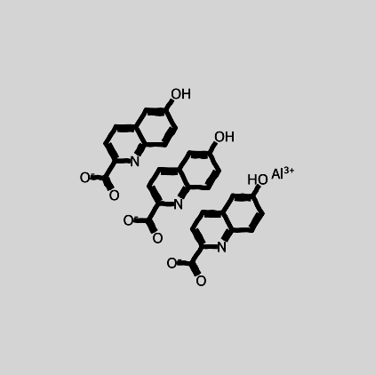 O=C([O-])c1ccc2cc(O)ccc2n1.O=C([O-])c1ccc2cc(O)ccc2n1.O=C([O-])c1ccc2cc(O)ccc2n1.[Al+3]